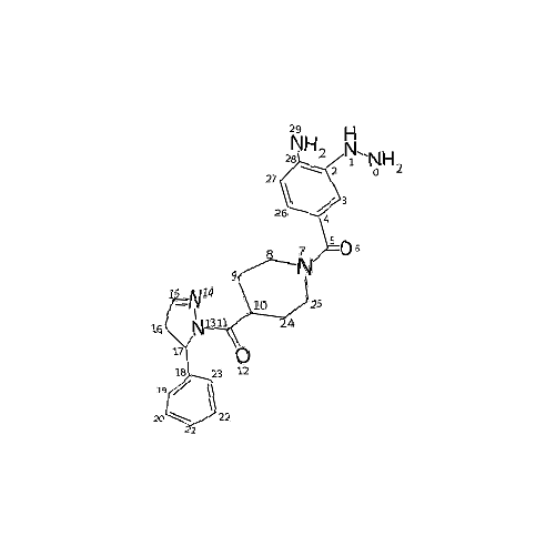 NNc1cc(C(=O)N2CCC(C(=O)N3N=CCC3c3ccccc3)CC2)ccc1N